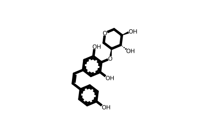 Oc1ccc(/C=C\c2cc(O)c(O[C@H]3COC[C@@H](O)[C@@H]3O)c(O)c2)cc1